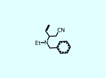 C=CC(CC#N)N(CC)Cc1ccccc1